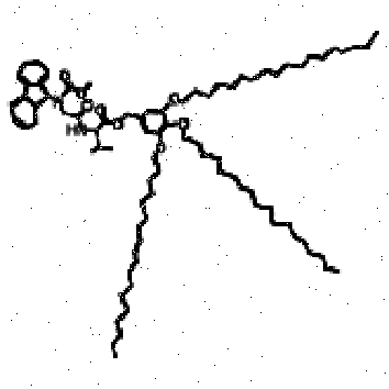 CCCCCCCCCCCCCCCCCCOc1cc(COC(=O)C(NC(=O)CN(C(=O)OC)C2c3ccccc3-c3ccccc32)C(C)C)cc(OCCCCCCCCCCCCCCCCCC)c1OCCCCCCCCCCCCCCCCCC